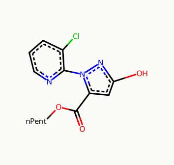 CCCCCOC(=O)c1cc(O)nn1-c1ncccc1Cl